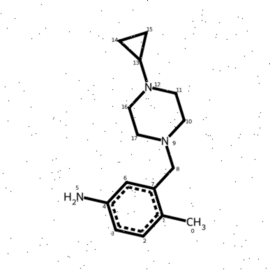 Cc1ccc(N)cc1CN1CCN(C2CC2)CC1